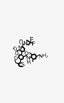 COC(=O)c1nc(C(=O)N2CC(F)(F)C2)ccc1-c1cc2c(cc1C(=O)Nc1c(C)cc(CN)cc1C)-c1sccc1CCO2